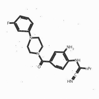 CCCC(=C=N)Nc1ccc(C(=O)N2CCN(c3cccc(F)c3)CC2)cc1N